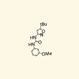 COc1cccc(NC(=O)Nc2cc(C(C)(C)C)on2)c1